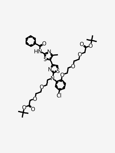 Cc1nc(NC(=O)c2ccccc2)sc1-c1csc(N(CCOCCOCC(=O)OC(C)(C)C)c2cc(Cl)ccc2OCCOCCOCC(=O)OC(C)(C)C)n1